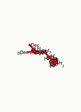 CCCCCCCCCCCCCCCCCC(=O)OC[C@H](COP(=O)(O)OCCNC(=O)OCCC(C)(C)OCC(=O)NCCCCCCNC(=O)CNC(=O)CNC(=O)[C@H](CC(C)C)NC(=O)C1O[C@@H]1C(=O)N[C@@H](CC(C)C)C(=O)N1CCC[C@H]1C)OC(=O)CCCCCCCCCCCCCCCCC